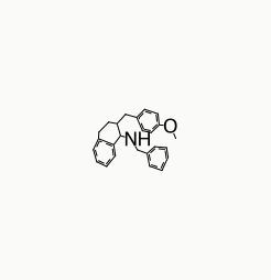 COc1ccc(CC2CCc3ccccc3C2NCc2ccccc2)cc1